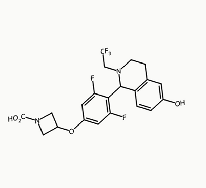 O=C(O)N1CC(Oc2cc(F)c(C3c4ccc(O)cc4CCN3CC(F)(F)F)c(F)c2)C1